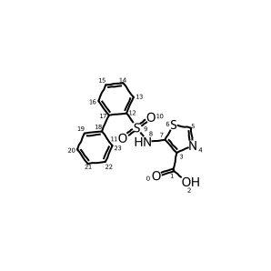 O=C(O)c1ncsc1NS(=O)(=O)c1ccccc1-c1ccccc1